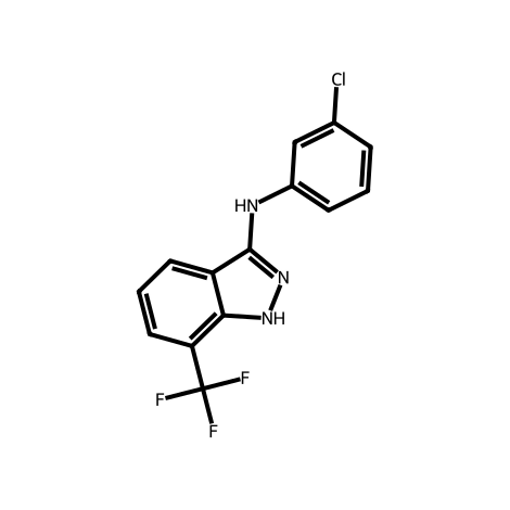 FC(F)(F)c1cccc2c(Nc3cccc(Cl)c3)n[nH]c12